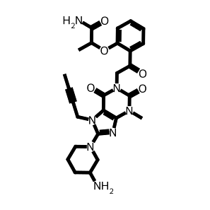 CC#CCn1c(N2CCCC(N)C2)nc2c1c(=O)n(CC(=O)c1ccccc1OC(C)C(N)=O)c(=O)n2C